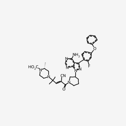 C[C@@H]1CN(C(C)(C)/C=C(\C#N)C(=O)N2CCCC(n3nc(-c4ccc(Oc5ccccc5)cc4F)c4c(N)ncnc43)C2)CCN1C(=O)O